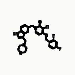 O=c1c(Cl)c(OCc2ccc(F)cc2F)ccn1Cc1ccc2[nH]cc(CN3CCOCC3)c2c1